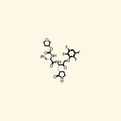 CC(C)C[C@H](NC(=O)O[C@H]1CCOC1)C(=O)N[C@@H](C[C@@H]1CCNC1=O)C(=O)COc1c(F)c(F)cc(F)c1F